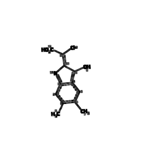 Cc1cc2c(cc1C)=C(O)C(=C(Cl)C(=O)O)N=2